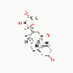 CO[C@]1(C(=O)CO)CC[C@@H]2C1CC(=O)[C@H]1[C@H]2CCC2=CC(=O)CC[C@@]21C